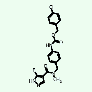 CN(Cc1ccc(NC(=O)OCc2ccc(Cl)cc2)cc1)C(=O)c1cn[nH]c1F